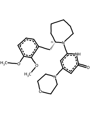 COc1cccc(C[C@@H]2CCCCCN2c2cc(N3CCOCC3)cc(=O)[nH]2)c1OC